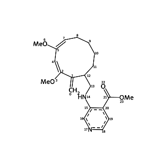 C=C1/C(OC)=C\C(OC)=C/CCCCC1CNc1cnccc1C(=O)OC